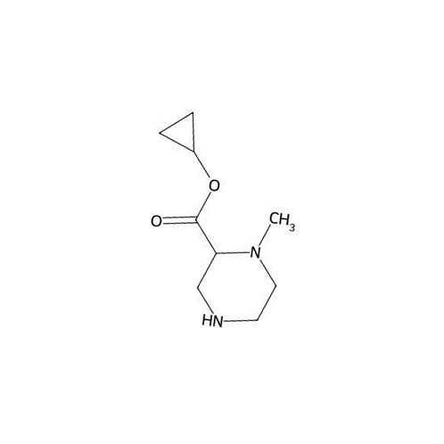 CN1CCNCC1C(=O)OC1CC1